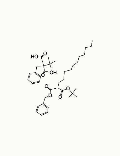 CC(C)(C)C(Cc1ccccc1)(C(=O)O)C(=O)O.CCCCCCCCCCCC(C(=O)OCc1ccccc1)C(=O)OC(C)(C)C